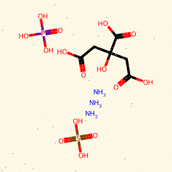 N.N.N.O=C(O)CC(O)(CC(=O)O)C(=O)O.O=P(O)(O)O.O=S(=O)(O)O